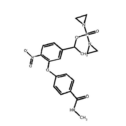 CNC(=O)c1ccc(Oc2cc(C(C)OP(=O)(N3CC3)N3CC3)ccc2[N+](=O)[O-])cc1